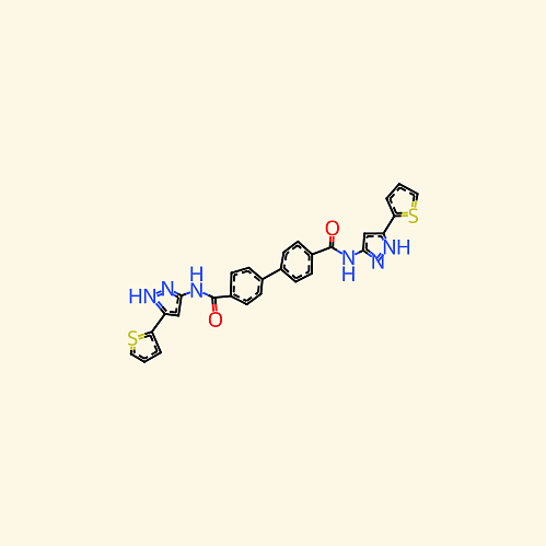 O=C(Nc1cc(-c2cccs2)[nH]n1)c1ccc(-c2ccc(C(=O)Nc3cc(-c4cccs4)[nH]n3)cc2)cc1